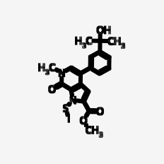 COC(=O)c1cc2c(-c3cccc(C(C)(C)O)c3)cn(C)c(=O)c2n1SI